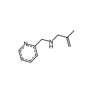 C=C(C)CNCc1ccccn1